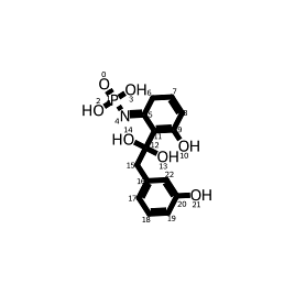 O=P(O)(O)N=C1CC=CC(O)=C1C(O)(O)Cc1cccc(O)c1